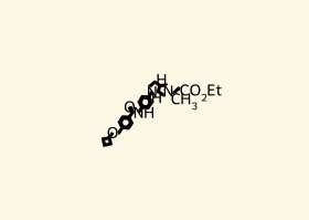 CCOC(=O)CC(C)N1C[C@H]2CCN(c3ccc(NC(=O)c4ccc(COC5CCC5)cc4)cc3)[C@H]2C1